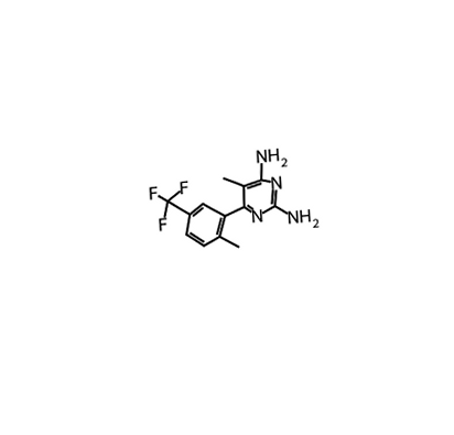 Cc1ccc(C(F)(F)F)cc1-c1nc(N)nc(N)c1C